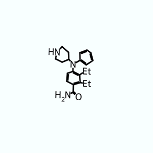 CCc1c(C(N)=O)ccc(N(c2ccccc2)C2CCNCC2)c1CC